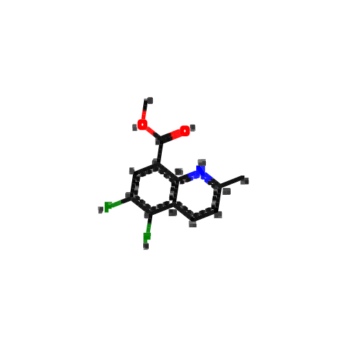 COC(=O)c1cc(F)c(F)c2ccc(C)nc12